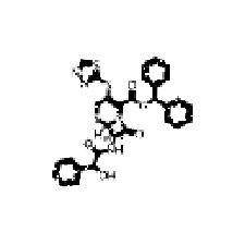 O=C(OC(c1ccccc1)c1ccccc1)C1=C(Sc2nncs2)CS[C@@H]2[C@H](NC(=O)C(O)c3ccccc3)C(=O)N12